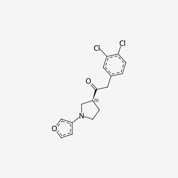 O=C(Cc1ccc(Cl)c(Cl)c1)[C@H]1CCN(c2ccoc2)C1